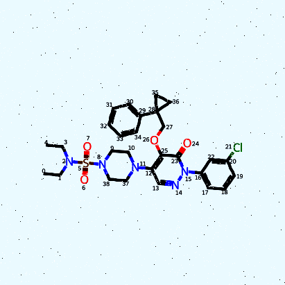 CCN(CC)S(=O)(=O)N1CCN(c2cnn(-c3cccc(Cl)c3)c(=O)c2OCC2(c3ccccc3)CC2)CC1